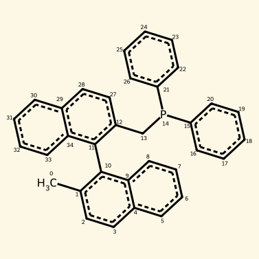 Cc1ccc2ccccc2c1-c1c(CP(c2ccccc2)c2ccccc2)ccc2ccccc12